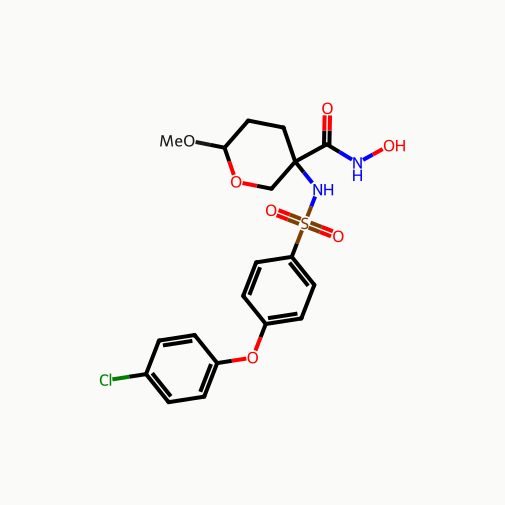 COC1CCC(NS(=O)(=O)c2ccc(Oc3ccc(Cl)cc3)cc2)(C(=O)NO)CO1